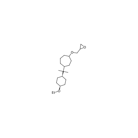 CCO[C@H]1CC[C@@H](C(C)(C)C2CCCC(OCC3CO3)CC2)CC1